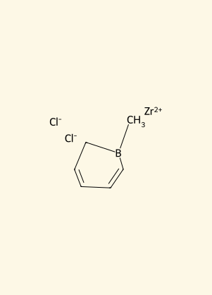 CB1C=CC=CC1.[Cl-].[Cl-].[Zr+2]